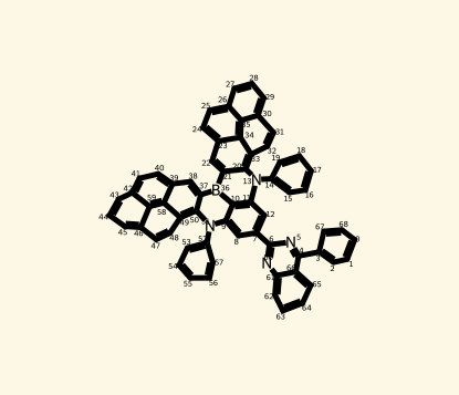 c1ccc(-c2nc(-c3cc4c5c(c3)N(c3ccccc3)c3c(cc6ccc7cccc8ccc3c6c78)B5c3cc5ccc6cccc7ccc(c3N4c3ccccc3)c5c67)nc3ccccc23)cc1